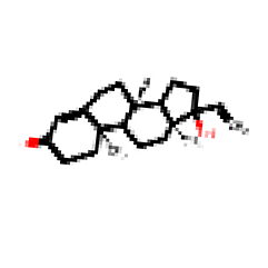 C=CC1(O)CCC2[C@H]3CCC4=CC(=O)CC[C@]4(C)C3CC[C@@]21C